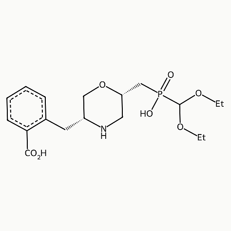 CCOC(OCC)P(=O)(O)C[C@@H]1CN[C@H](Cc2ccccc2C(=O)O)CO1